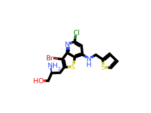 N[C@H](CO)Cc1sc2c(NCc3cccs3)cc(Cl)nc2c1Br